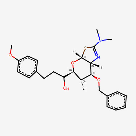 COc1ccc(CCC(O)[C@H]2O[C@@H]3SC(N(C)C)=N[C@@H]3[C@@H](OCc3ccccc3)[C@@H]2C)cc1